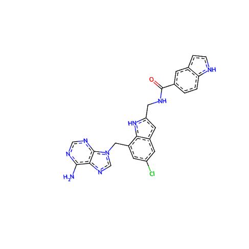 Nc1ncnc2c1ncn2Cc1cc(Cl)cc2cc(CNC(=O)c3ccc4[nH]ccc4c3)[nH]c12